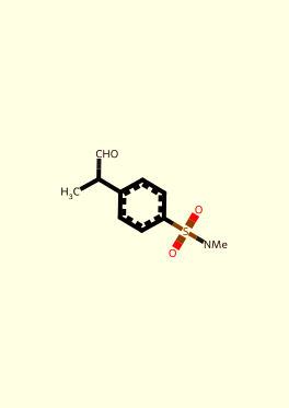 CNS(=O)(=O)c1ccc(C(C)C=O)cc1